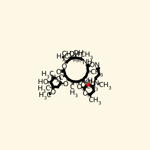 CC[C@H]1OC(=O)[C@H](C)[C@@H](O[C@H]2C[C@@](C)(OC)[C@@H](O)[C@H](C)O2)[C@H](C)[C@@H](O[C@@H]2O[C@H](C)C[C@H](N(C)CCC#N)[C@H]2O)[C@](C)(OC)C[C@@H](C)C(=O)N[C@H](C)[C@@H](O)[C@]1(C)O